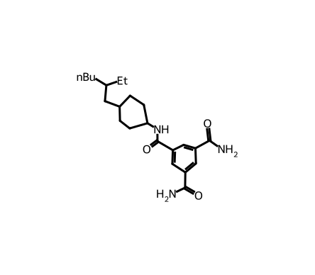 CCCCC(CC)CC1CCC(NC(=O)c2cc(C(N)=O)cc(C(N)=O)c2)CC1